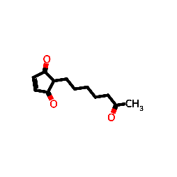 CC(=O)CCCCCC1C(=O)C=CC1=O